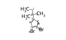 CCC(C)(C)c1cc(Br)c(Br)s1